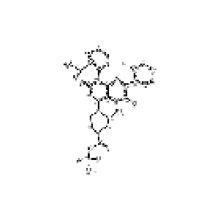 CC(C)c1cccnc1-n1c(=O)nc(N2CCN(C(=O)OC(C)(C)C)C[C@@H]2C)c2cc(Cl)c(-c3ccccc3F)cc21